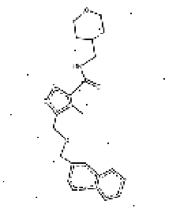 Cc1c(C(=O)NCC2CCOCC2)noc1COCc1ccc2ccccc2c1